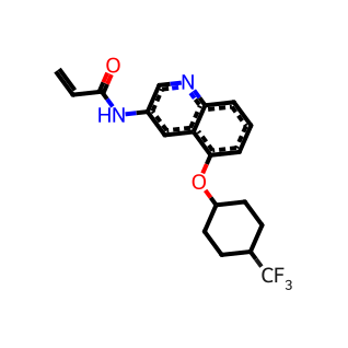 C=CC(=O)Nc1cnc2cccc(OC3CCC(C(F)(F)F)CC3)c2c1